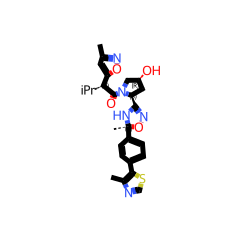 Cc1cc([C@H](C(=O)N2C[C@H](O)C[C@H]2C2=NO[C@@](C)(c3ccc(-c4scnc4C)cc3)N2)C(C)C)on1